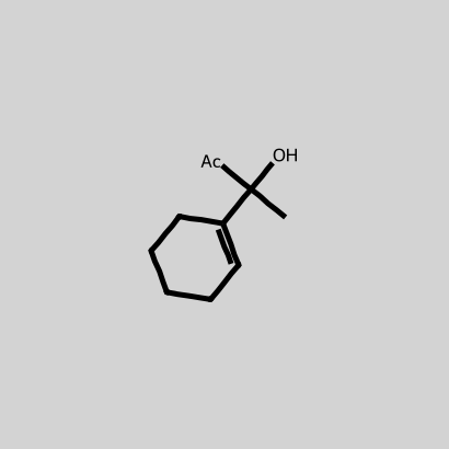 CC(=O)C(C)(O)C1=CCCCC1